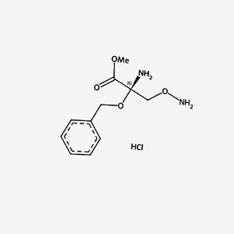 COC(=O)[C@](N)(CON)OCc1ccccc1.Cl